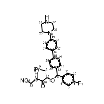 CC(C)C[C@H](OC(c1ccc(F)cc1)c1ccc(-c2ccc(N3CCNCC3)cc2)cc1)C(=O)NCC#N